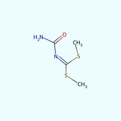 CSC(=NC(N)=O)SC